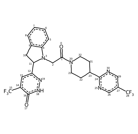 O=C(CN1c2ccccc2CC1c1cc(C(F)(F)F)c(=O)[nH]n1)N1CCC(c2ncc(C(F)(F)F)cn2)CC1